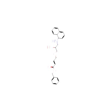 O=C(/C=C/COCC(O)CNC1C=CC=C2C=CC=CC21)OCc1ccccc1